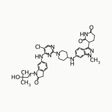 Cn1nc(C2CCC(=O)NC2=O)c2ccc(NC3CCN(c4ncc(Cl)c(Nc5ccc6c(c5)N(CCC(C)(C)O)C(=O)C6)n4)CC3)cc21